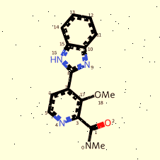 CNC(=O)c1nccc(-c2nc3ccccc3[nH]2)c1OC